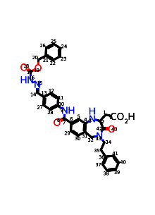 O=C(O)CC1Nc2cc(C(=O)Nc3ccc(C=NNC(=O)OCc4ccccc4)cc3)ccc2CN(CCc2ccccc2)C1=O